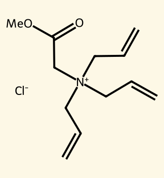 C=CC[N+](CC=C)(CC=C)CC(=O)OC.[Cl-]